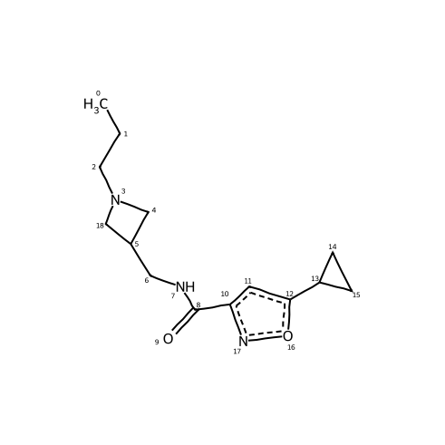 CCCN1CC(CNC(=O)c2cc(C3CC3)on2)C1